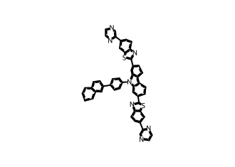 c1ccc2cc(-c3ccc(-n4c5cc(-c6nc7ccc(-c8cnccn8)cc7s6)ccc5c5ccc(-c6nc7ccc(-c8cnccn8)cc7s6)cc54)cc3)ccc2c1